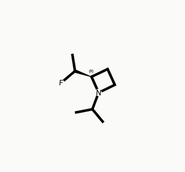 CC(F)[C@H]1CCN1C(C)C